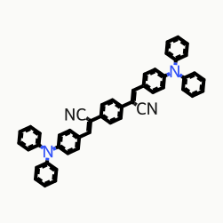 N#C/C(=C\c1ccc(N(c2ccccc2)c2ccccc2)cc1)c1ccc(/C(C#N)=C/c2ccc(N(c3ccccc3)c3ccccc3)cc2)cc1